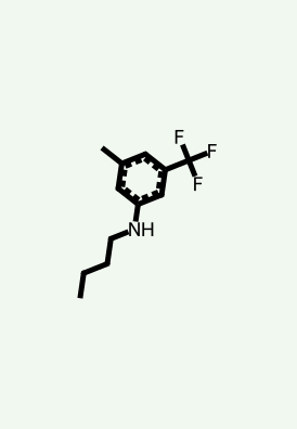 CCCCNc1cc(C)cc(C(F)(F)F)c1